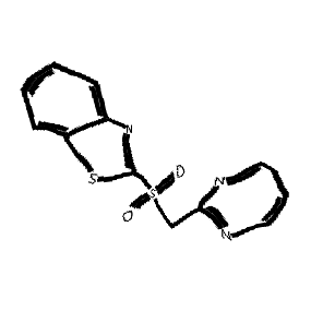 O=S(=O)(Cc1ncccn1)c1nc2ccccc2s1